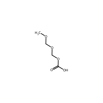 COCOCOC(=O)O